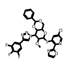 COC1C(Sc2cc(Cl)cnc2-c2ncco2)OC2COC(c3ccccc3)OC2C1n1cc(-c2cc(F)c(F)c(F)c2)nn1